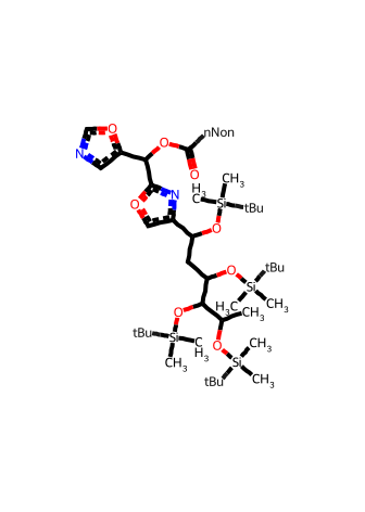 CCCCCCCCCC(=O)OC(c1cnco1)c1nc(C(CC(O[Si](C)(C)C(C)(C)C)C(O[Si](C)(C)C(C)(C)C)C(C)O[Si](C)(C)C(C)(C)C)O[Si](C)(C)C(C)(C)C)co1